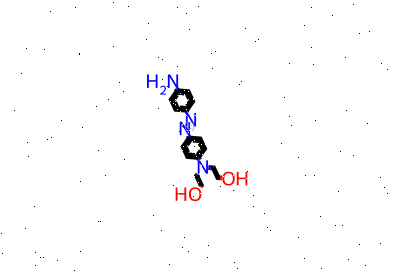 Nc1ccc(/N=N/c2ccc(N(CCO)CCO)cc2)cc1